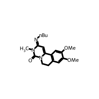 CCCCN=c1cc2n(c(=O)n1C)CCc1cc(OC)c(OC)cc1-2